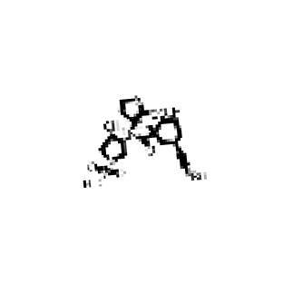 CCC1(C(=O)N(c2ccsc2C(=O)O)[C@H]2CN(S(C)(=O)=O)C[C@@H]2C)CCCC(C#CC(C)(C)C)C1